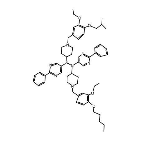 CCCCCOc1ccc(CN2CCC(N(c3cnc(-c4ccccc4)nc3)N(c3cnc(-c4ccccc4)nc3)C3CCN(Cc4ccc(OCC(C)C)c(OCC)c4)CC3)CC2)cc1OCC